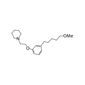 COCCCCCc1cccc(OCCN2CCCCC2)c1